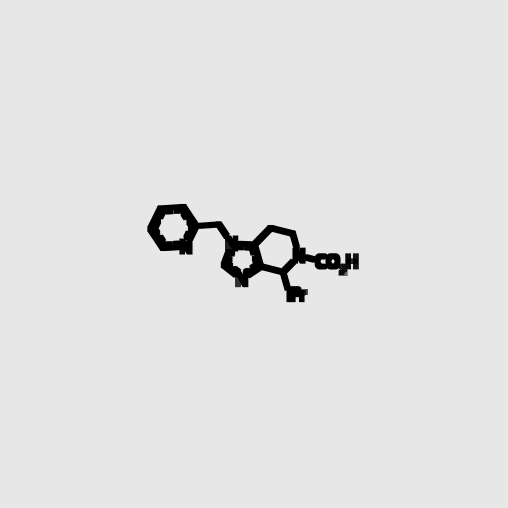 CC(C)C1c2ncn(Cc3ccccn3)c2CCN1C(=O)O